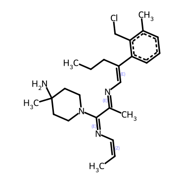 C\C=C/N=C(\C(C)=N\C=C(/CCC)c1cccc(C)c1CCl)N1CCC(C)(N)CC1